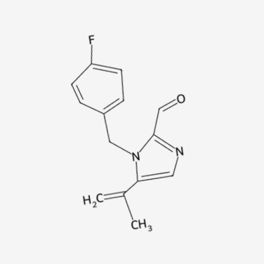 C=C(C)c1cnc(C=O)n1Cc1ccc(F)cc1